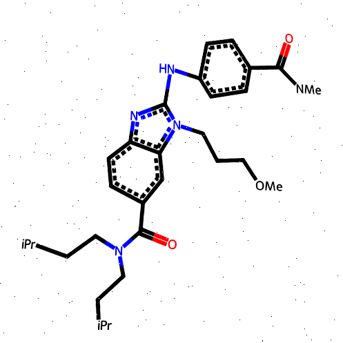 CNC(=O)c1ccc(Nc2nc3ccc(C(=O)N(CCC(C)C)CCC(C)C)cc3n2CCCOC)cc1